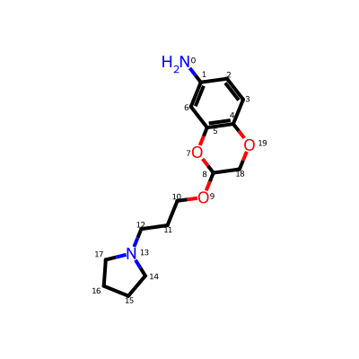 Nc1ccc2c(c1)OC(OCCCN1CCCC1)CO2